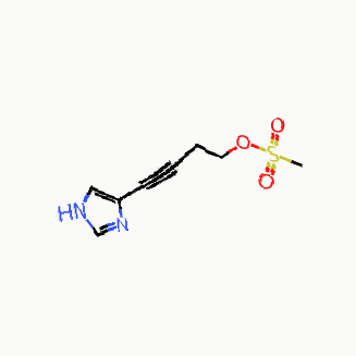 CS(=O)(=O)OCCC#Cc1c[nH]cn1